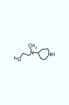 CN(CCOI)C1CCNCC1